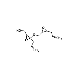 C=CCC1OC1COC1(CC=C)OC1CO